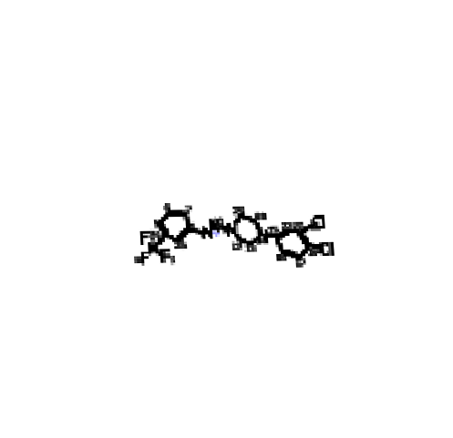 FC(F)(F)c1cccc(/N=N/N2CCN(c3ccc(Cl)c(Cl)c3)CC2)c1